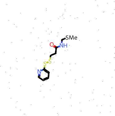 CSCNC(=O)CCSSc1ccccn1